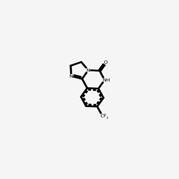 O=C1Nc2cc(C(F)(F)F)ccc2C2=NCCN12